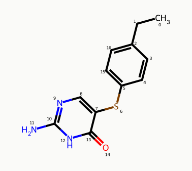 CCc1ccc(Sc2cnc(N)[nH]c2=O)cc1